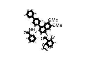 COc1cc2c(NC(=O)c3c(Br)ccc4c3OCO4)ccc(-c3ccc(-c4ccccc4)cc3)c2cc1OC.NC(=O)c1ccccc1